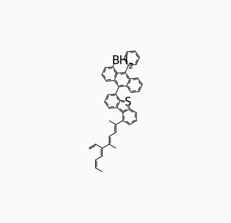 Bc1cccc2c(-c3cccc4c3sc3cccc(/C(C)=C/C=C(C)/C(C=C)=C/C=C\C)c34)c3ccccc3c(-c3ccccc3)c12